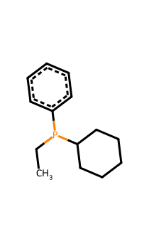 CCP(c1ccccc1)C1CCCCC1